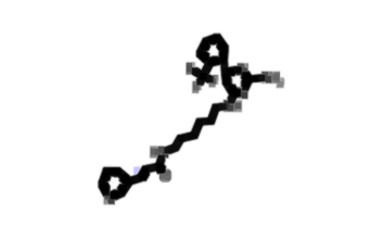 Nc1nc(NCCCCCCNC(=O)/C=C/c2cccnc2)cc(-c2ccccc2C(F)(F)F)n1